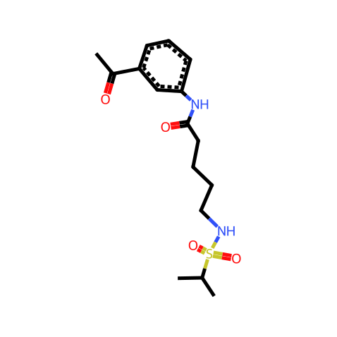 CC(=O)c1cccc(NC(=O)CCCCNS(=O)(=O)C(C)C)c1